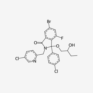 CCC(O)COC1(c2ccc(Cl)cc2)c2c(F)cc(Br)cc2C(=O)N1Cc1ccc(Cl)cn1